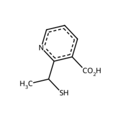 CC(S)c1ncccc1C(=O)O